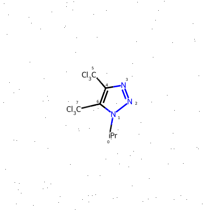 CC(C)n1nnc(C(Cl)(Cl)Cl)c1C(Cl)(Cl)Cl